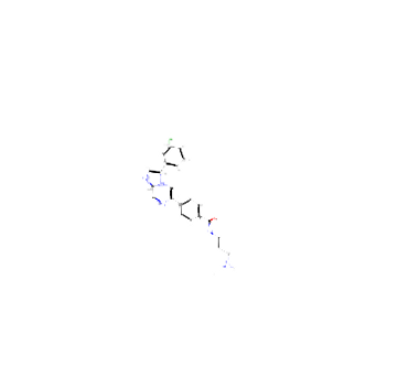 CN(C)CCCNC(=O)c1ccc(-c2cn3c(-c4cccc(Cl)c4)cnc3cn2)cc1